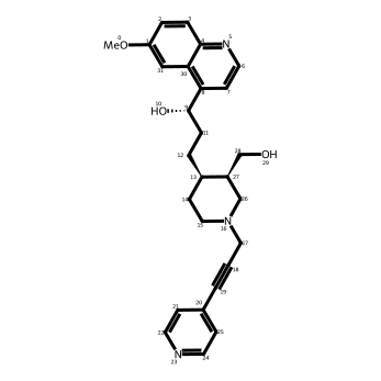 COc1ccc2nccc([C@@H](O)CC[C@@H]3CCN(CC#Cc4ccncc4)C[C@@H]3CO)c2c1